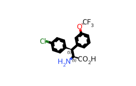 N[C@H](C(=O)O)[C@@H](c1ccc(Cl)cc1)c1cccc(OC(F)(F)F)c1